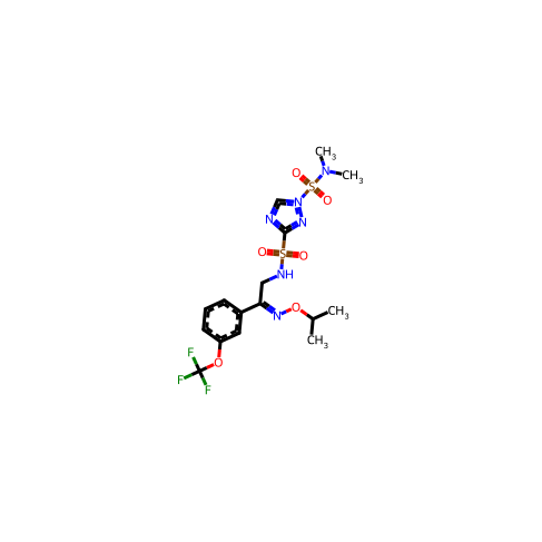 CC(C)O/N=C(\CNS(=O)(=O)c1ncn(S(=O)(=O)N(C)C)n1)c1cccc(OC(F)(F)F)c1